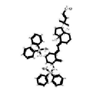 C=C1/C(=C/C=C2\CCC[C@]3(C)[C@@H](C(C)(C)/C=C/C=O)CC[C@@H]23)C[C@@H](O[Si](c2ccccc2)(c2ccccc2)C(C)(C)C)C[C@@H]1O[Si](c1ccccc1)(c1ccccc1)C(C)(C)C